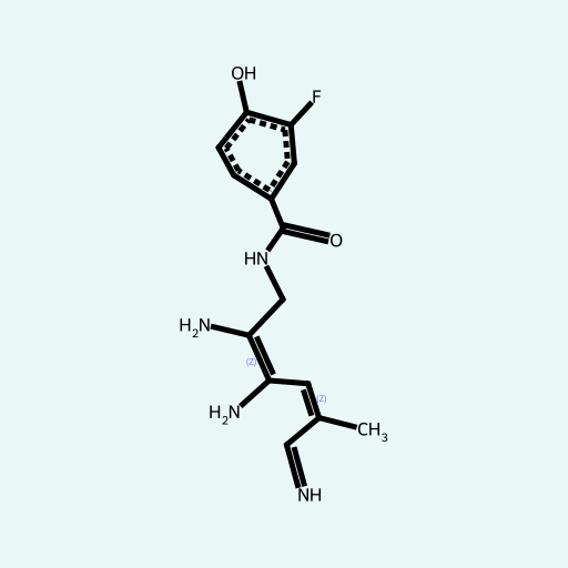 C/C(C=N)=C/C(N)=C(/N)CNC(=O)c1ccc(O)c(F)c1